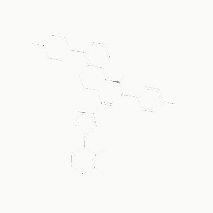 O=C(O)c1ccc(NC(=O)[C@@H]2c3cccc(N4CCC(O)CC4)c3CCN2C(=O)c2cn(-c3cccc(Cl)c3F)nn2)cc1